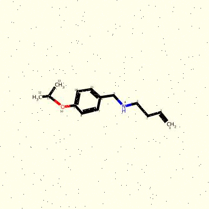 C=CCCNCc1ccc(OC(C)C)cc1